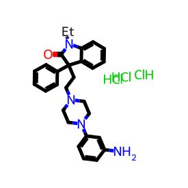 CCN1C(=O)C(CCN2CCN(c3cccc(N)c3)CC2)(c2ccccc2)c2ccccc21.Cl.Cl.Cl